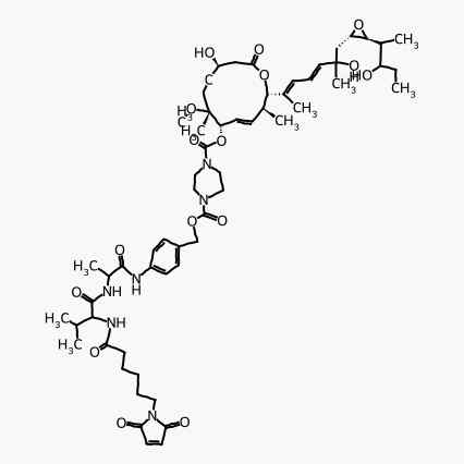 CCC(O)C(C)[C@@H]1O[C@H]1CC(C)(O)/C=C/C=C(\C)[C@H]1OC(=O)C[C@H](O)CC[C@@](C)(OC)[C@@H](OC(=O)N2CCN(C(=O)OCc3ccc(NC(=O)C(C)NC(=O)C(NC(=O)CCCCCN4C(=O)C=CC4=O)C(C)C)cc3)CC2)/C=C/[C@@H]1C